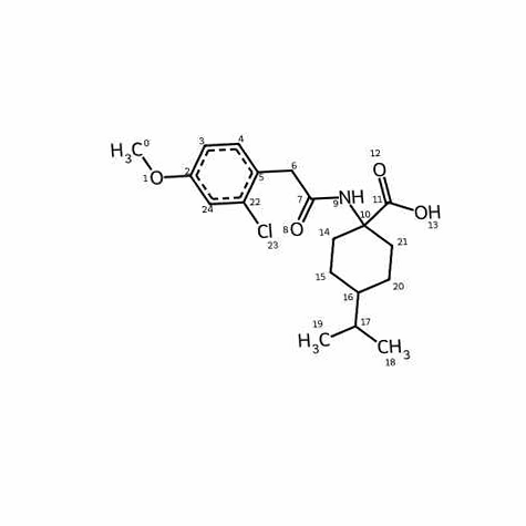 COc1ccc(CC(=O)NC2(C(=O)O)CCC(C(C)C)CC2)c(Cl)c1